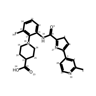 Cc1cc(C2=CCC(C(=O)Nc3cccc(F)c3N3CCC(C(=O)O)CC3)=N2)ccn1